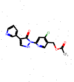 O=C(OCc1cnc(-n2[nH]cc(-c3cccnc3)c2=O)cc1Cl)C(F)(F)F